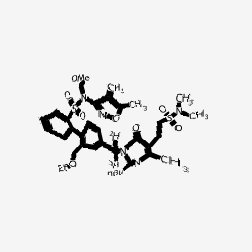 [2H]C([2H])(c1ccc(-c2ccccc2S(=O)(=O)N(COC)c2noc(C)c2C)c(COCC)c1)n1c(CCCC)nc(C)c(CCS(=O)(=O)N(C)C)c1=O